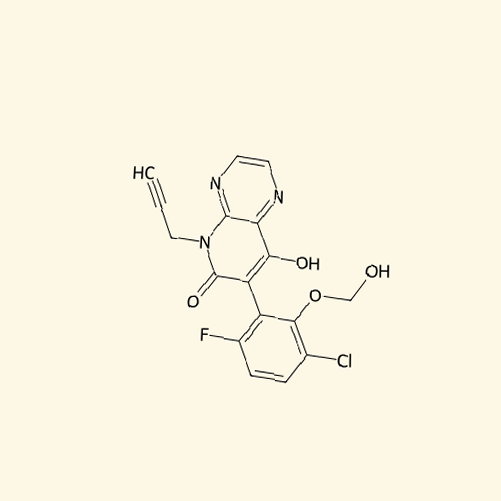 C#CCn1c(=O)c(-c2c(F)ccc(Cl)c2OCO)c(O)c2nccnc21